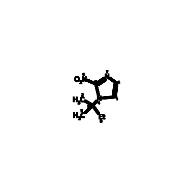 CCC(C)(C)n1ccnc1[N+](=O)[O-]